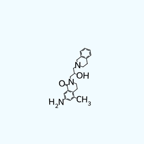 Cc1cc(N)cc2c1CCN(CC(O)CN1CCc3ccccc3C1)C2=O